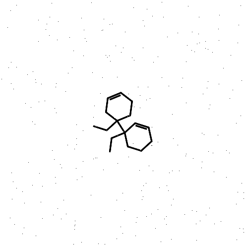 CCC1(C2(CC)CC=CCC2)C=CCCC1